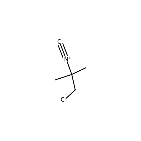 [C-]#[N+]C(C)(C)CCl